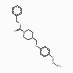 NOOc1ccc(OCC2CCN(C(=O)OCc3ccccc3)CC2)cc1